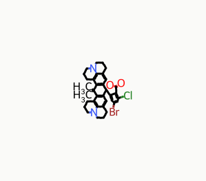 CC1(C)c2c(cc3c4c2CCCN4CCC3)C2(OC(=O)c3c(Cl)cc(Br)cc32)c2cc3c4c(c21)CCCN4CCC3